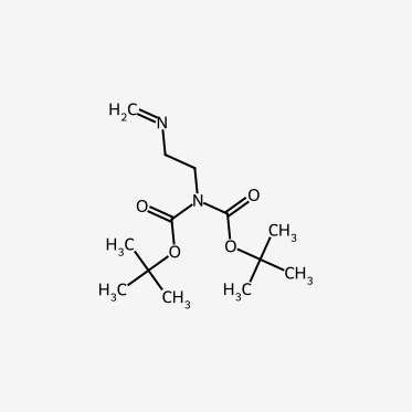 C=NCCN(C(=O)OC(C)(C)C)C(=O)OC(C)(C)C